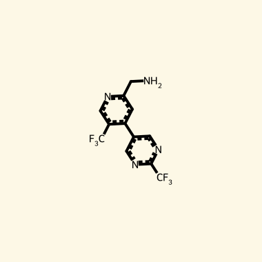 NCc1cc(-c2cnc(C(F)(F)F)nc2)c(C(F)(F)F)cn1